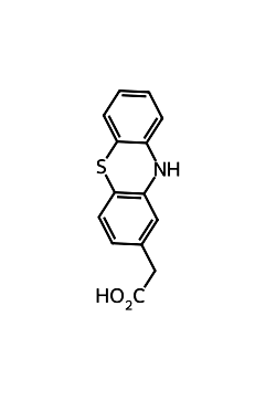 O=C(O)Cc1ccc2c(c1)Nc1ccccc1S2